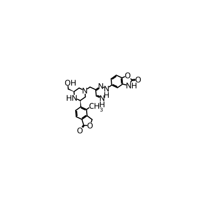 Cc1c([C@@H]2CN(C/C(C=N)=N/Nc3ccc4oc(=O)[nH]c4c3)C[C@H](CO)N2)ccc2c1COC2=O